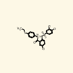 CCSc1ccc(NC(=O)c2cc(Cl)ccc2NS(=O)(=O)c2ccc(Cl)c(Cl)c2)cc1